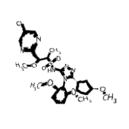 COc1cccc(OC)c1-n1c(NS(=O)(=O)C(C)C(OC)c2ncc(Cl)cn2)nnc1[C@H]1CC[C@@H](OC)C1